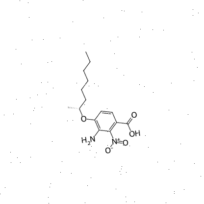 CCCCCC[C@@H](C)Oc1ccc(C(=O)O)c([N+](=O)[O-])c1N